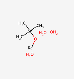 O.O.O.[CH3][Sn]([CH3])([CH3])[O][Re]